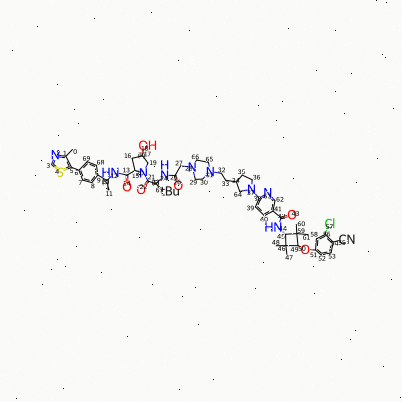 Cc1ncsc1-c1ccc([C@H](C)NC(=O)C2C[C@@H](O)CN2C(=O)[C@@H](NC(=O)CN2CCN(CCC3CCN(c4ccc(C(=O)N[C@H]5C(C)(C)[C@H](Oc6ccc(C#N)c(Cl)c6)C5(C)C)cn4)C3)CC2)C(C)(C)C)cc1